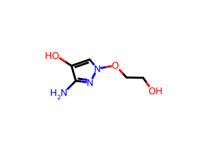 Nc1nn(OCCO)cc1O